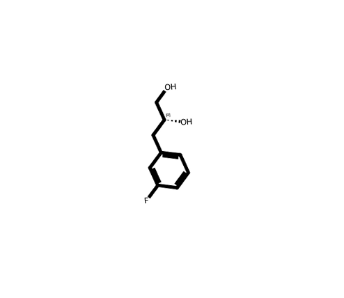 OC[C@H](O)Cc1cccc(F)c1